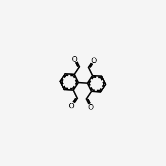 O=Cc1cccc(C=O)c1-c1c(C=O)cccc1C=O